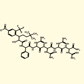 CC(C)(C)CCN(c1ccc([N+](=O)[O-])cc1C(F)(F)F)C(O)C(=O)NC(C(=O)NC(NC(=N)N)C(=O)NC(NC(=N)N)C(=O)NC(NC(=N)N)C(=O)NC(NC(=N)N)C(N)=O)c1ccccc1